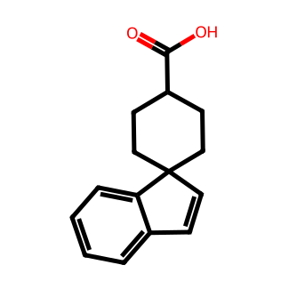 O=C(O)C1CCC2(C=Cc3ccccc32)CC1